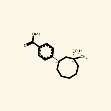 COC(=O)c1ccc([C@H]2CCCCC[C@@](C)(C(=O)O)C2)cc1